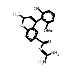 [C-]#[N+]c1cccc(OC)c1C1=CC(C)Oc2ccc(C(=O)N=C(N)N)cc21